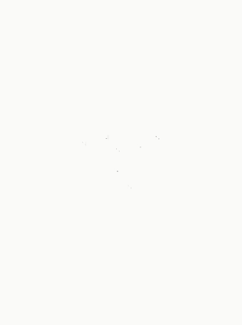 CCN(CC)[SiH](C)N([SiH](C)N(CC)CC)[Si](C)(C)N(CC)CC